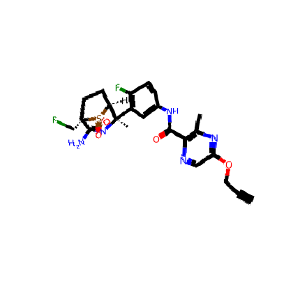 C#CCOc1cnc(C(=O)Nc2ccc(F)c([C@@]3(C)N=C(N)[C@@]4(CF)CC[C@@H]3S4(=O)=O)c2)c(C)n1